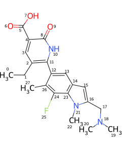 CCc1cc(C(=O)O)c(=O)[nH]c1-c1cc2cc(CN(C)C)n(C)c2c(F)c1C